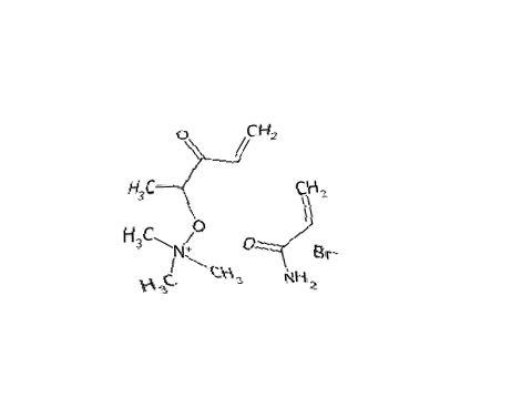 C=CC(=O)C(C)O[N+](C)(C)C.C=CC(N)=O.[Br-]